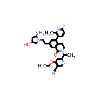 CCOc1cc(C(C)N2CCc3c(cc(CCN4C[C@@H](O)C[C@H]4C)cc3-c3ccc(F)nc3C)C2=O)ncc1C#N